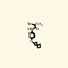 CC(Br)C(=O)Nc1ccc(OC2CC3(CCC3)C2)nn1